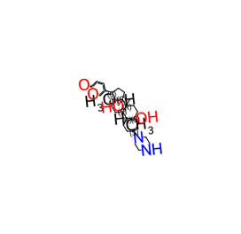 C[C@]12CC[C@H](N3CCNCC3)C[C@@]1(O)CC[C@@H]1[C@@H]2CC[C@]2(C)[C@@H](c3ccc(=O)oc3)CC[C@]12O